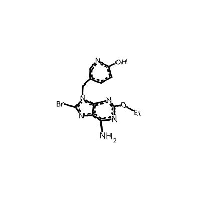 CCOc1nc(N)c2nc(Br)n(Cc3ccc(O)nc3)c2n1